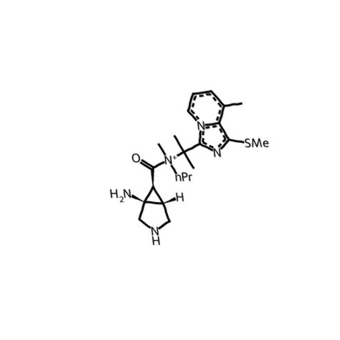 CCC[N+](C)(C(=O)[C@H]1[C@@H]2CNC[C@@]21N)C(C)(C)c1nc(SC)c2c(C)cccn12